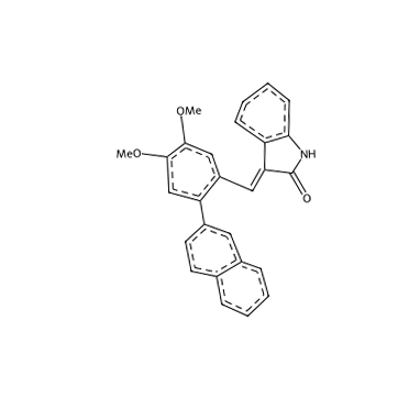 COc1cc(/C=C2/C(=O)Nc3ccccc32)c(-c2ccc3ccccc3c2)cc1OC